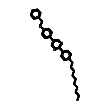 CCCCCCCCCCc1ccc(-c2ncc(-c3ccc(OCc4ccccc4)cc3)cn2)cc1